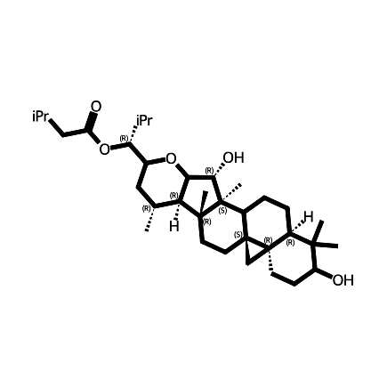 CC(C)CC(=O)O[C@H](C(C)C)C1C[C@@H](C)[C@H]2C(O1)[C@H](O)[C@@]1(C)C3CC[C@H]4C(C)(C)C(O)CC[C@@]45C[C@@]35CC[C@]21C